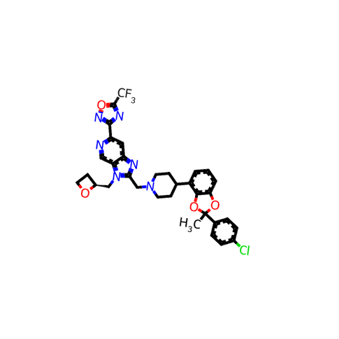 CC1(c2ccc(Cl)cc2)Oc2cccc(C3CCN(Cc4nc5cc(-c6noc(C(F)(F)F)n6)ncc5n4C[C@@H]4CCO4)CC3)c2O1